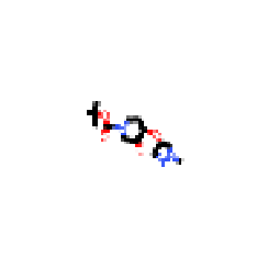 Cn1cc(OC2CCN(C(=O)OC(C)(C)C)CC2=O)cn1